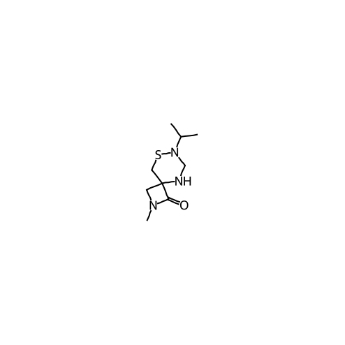 CC(C)N1CNC2(CS1)CN(C)C2=O